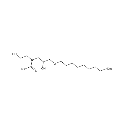 CCCCCCCCCCCCCCCCCCOCC(O)CN(CCO)C(=O)CCC